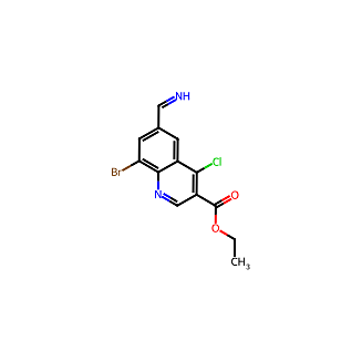 CCOC(=O)c1cnc2c(Br)cc(C=N)cc2c1Cl